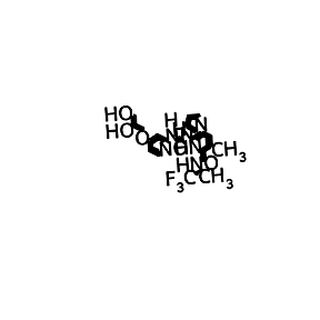 CC1=CC2=C(NC1C(=O)N[C@H](C)C(F)(F)F)N(C(=O)Nc1cc(OC[C@H](O)CO)ccn1)[C@H]1CCN2C1